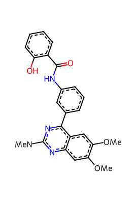 CNc1nc(-c2cccc(NC(=O)c3ccccc3O)c2)c2cc(OC)c(OC)cc2n1